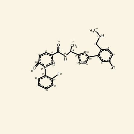 CNCc1ccc(Cl)cc1-c1cnc(C(C)NC(=O)c2ccc(=O)n(-c3ccccc3F)n2)s1